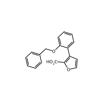 O=C(O)c1occc1-c1ccccc1OCc1ccccc1